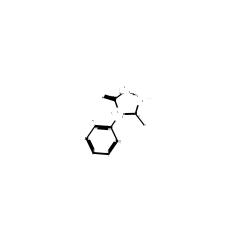 CC1NNC(=S)N1c1ccccc1